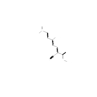 COC(=O)/C(C#N)=C/C=C(C)/C=C/N(C)C